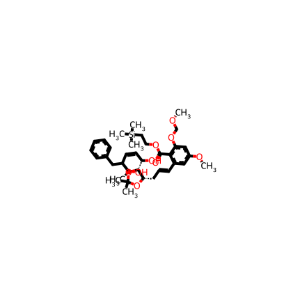 COCOc1cc(OC)cc(/C=C/C[C@@H]2OC(C)(C)O[C@@H]2C(O)/C=C\C(Cc2ccccc2)[C@H](C)O)c1C(=O)OCC[Si](C)(C)C